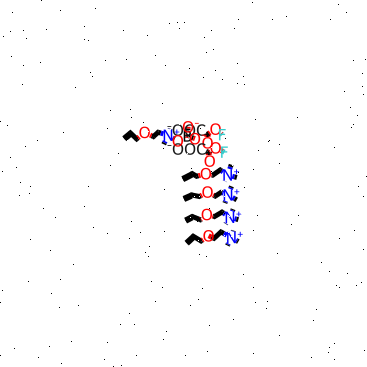 C=CCOCC[N+](C)(C)C.C=CCOCC[N+](C)(C)C.C=CCOCC[N+](C)(C)C.C=CCOCC[N+](C)(C)C.C=CCOCC[N+](C)(C)C.O=C([O-])C(=O)OF.O=C([O-])C(=O)OF.[O-]B([O-])[O-]